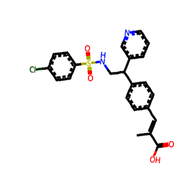 C/C(=C\c1ccc(C(CNS(=O)(=O)c2ccc(Cl)cc2)c2cccnc2)cc1)C(=O)O